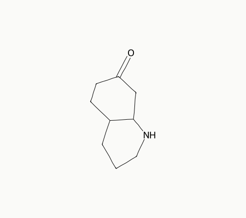 O=C1CCC2CCCNC2C1